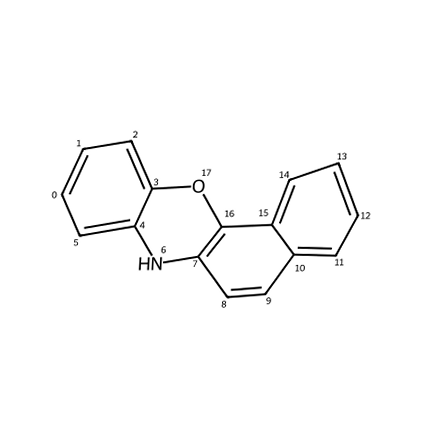 c1ccc2c(c1)Nc1ccc3ccccc3c1O2